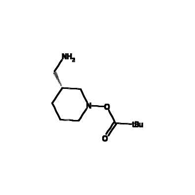 CC(C)(C)C(=O)ON1CCC[C@H](CN)C1